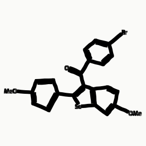 COc1ccc(-c2[se]c3cc(OC)ccc3c2C(=O)c2ccc(Br)cc2)cc1